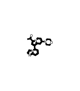 CC(=O)c1cc(-c2cccc3nccn23)c2cc(N3CCOCC3)ccn12